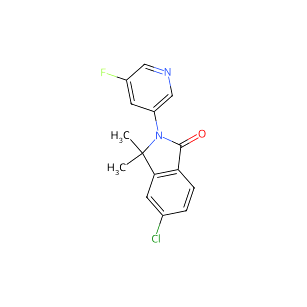 CC1(C)c2cc(Cl)ccc2C(=O)N1c1cncc(F)c1